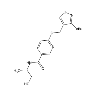 CCCCc1nocc1COc1ccc(C(=O)N[C@@H](C)CO)cn1